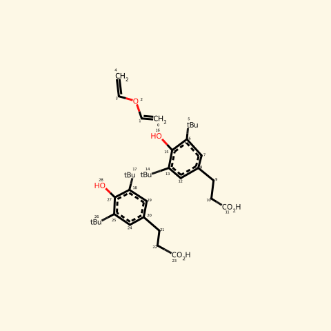 C=COC=C.CC(C)(C)c1cc(CCC(=O)O)cc(C(C)(C)C)c1O.CC(C)(C)c1cc(CCC(=O)O)cc(C(C)(C)C)c1O